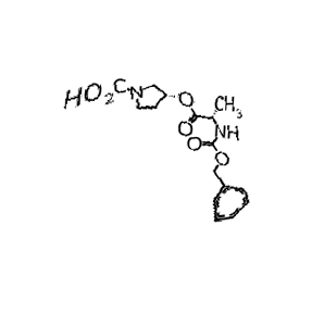 C[C@H](NC(=O)OCc1ccccc1)C(=O)O[C@@H]1CCN(C(=O)O)C1